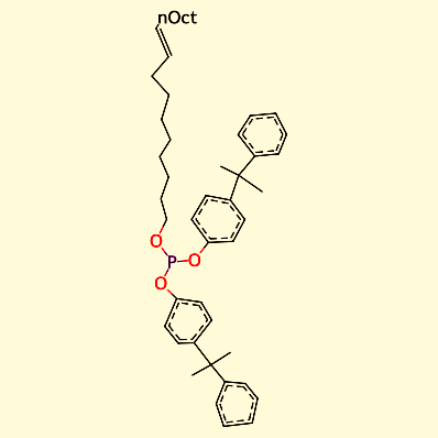 CCCCCCCC/C=C/CCCCCCCCOP(Oc1ccc(C(C)(C)c2ccccc2)cc1)Oc1ccc(C(C)(C)c2ccccc2)cc1